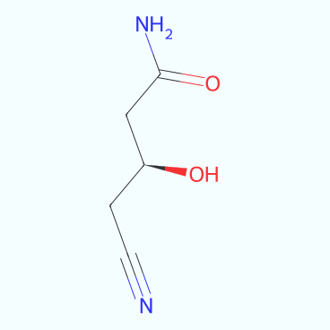 N#CC[C@H](O)CC(N)=O